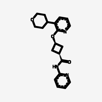 O=C(Nc1ccccn1)[C@H]1C[C@H](Oc2ncccc2C2CCOCC2)C1